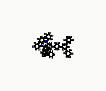 CC1(C)c2ccccc2-c2ccc(-n3c4ccccc4c4ccc5c6ccccc6n(-c6nc(-c7ccccc7)nc(-c7ccc(-c8cc(-c9ccccc9)cc(-c9ccccc9)n8)cc7)n6)c5c43)cc21